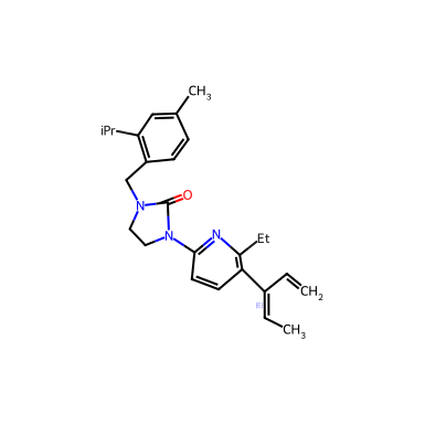 C=C/C(=C\C)c1ccc(N2CCN(Cc3ccc(C)cc3C(C)C)C2=O)nc1CC